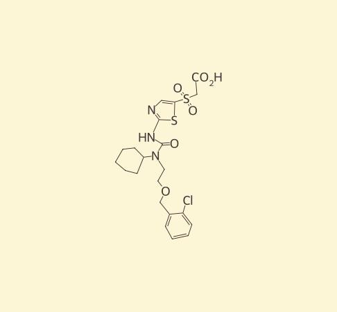 O=C(O)CS(=O)(=O)c1cnc(NC(=O)N(CCOCc2ccccc2Cl)C2CCCCC2)s1